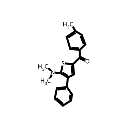 Cc1ccc(C(=O)c2cc(-c3ccccc3)c(N(C)C)s2)cc1